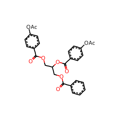 CC(=O)Oc1ccc(C(=O)OCC(COC(=O)c2ccccc2)OC(=O)c2ccc(OC(C)=O)cc2)cc1